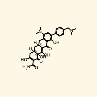 CN(C)Cc1ccc(-c2cc(N(C)C)c3c(c2O)C(=O)C2=C(O)[C@]4(O)C(=O)C(C(N)=O)=C(O)C[C@@H]4C[C@@H]2C3)cc1